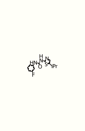 CC(C)c1cnc(NC(=O)Nc2cccc(F)c2)s1